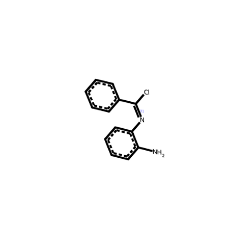 Nc1ccccc1/N=C(/Cl)c1ccccc1